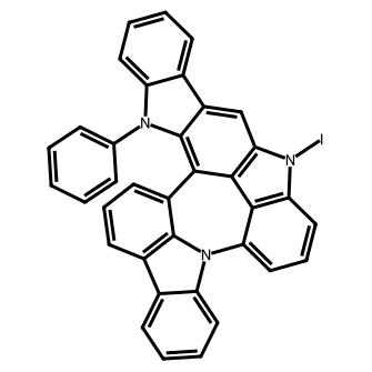 In1c2cc3c4ccccc4n(-c4ccccc4)c3c3c4cccc5c6ccccc6n(c6cccc1c6c32)c54